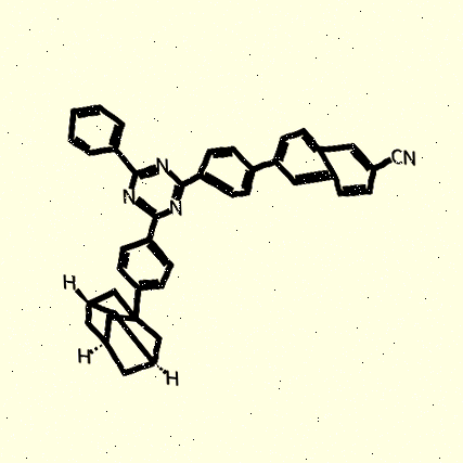 N#Cc1ccc2cc(-c3ccc(-c4nc(-c5ccccc5)nc(-c5ccc(C67C[C@H]8C[C@H](C6)C[C@@H](C7)C8)cc5)n4)cc3)ccc2c1